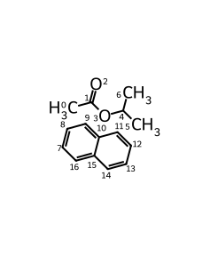 CC(=O)OC(C)C.c1ccc2ccccc2c1